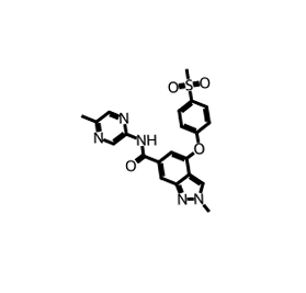 Cc1cnc(NC(=O)c2cc(Oc3ccc(S(C)(=O)=O)cc3)c3cn(C)nc3c2)cn1